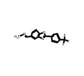 C/N=C/c1ccc2oc(-c3ccc(C(F)(F)F)cc3)nc2c1